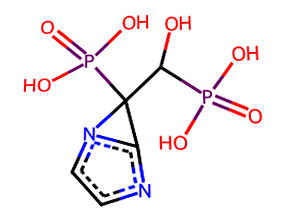 O=P(O)(O)C(O)C1(P(=O)(O)O)c2nccn21